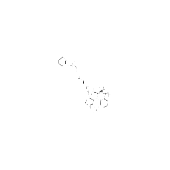 CC1=C(C(=O)O)C(c2ccccc2C(F)(F)F)c2c(ccnc2OC(C)C)N1OC(=O)/C=C/C(=O)OCCN(C)Cc1ccccc1